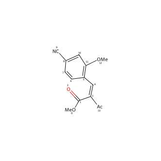 COC(=O)C(=Cc1ccc(C#N)cc1OC)C(C)=O